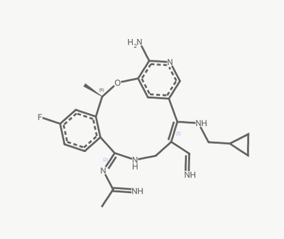 CC(=N)/N=C1\NC/C(C=N)=C(/NCC2CC2)c2cnc(N)c(c2)O[C@H](C)c2cc(F)ccc21